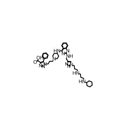 O=C(O)c1nnn(CCCN2CCC(Nc3nc(NCc4cn(CCCNCCCNC5CCCCC5)nn4)nc4ccccc34)CC2)c1-c1ccccc1